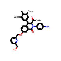 COC(=O)c1c(-c2cc(OC)c(C)c(OC)c2)c2ccc(OCc3cccc(CO)n3)cc2c(=O)n1-c1ccc(N)cc1